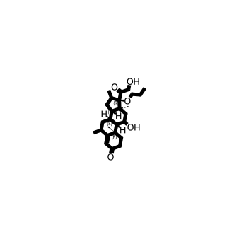 CCCO[C@]1(C(=O)CO)C(C)C[C@H]2[C@@H]3CC(C)C4=CC(=O)CC[C@]4(C)[C@H]3C(O)C[C@@]21C